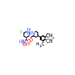 Cc1cc(C2=CCNC(C(=O)[C@H]3NC[C@H](F)C[C@@H]3C(=O)NO)C2)cc(C)c1C#N